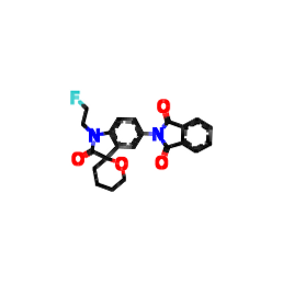 O=C1c2ccccc2C(=O)N1c1ccc2c(c1)C1(CCCCO1)C(=O)N2CCF